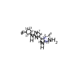 C=C/C=c1/c(-c2ccnc(Nc3cccc(F)c3)n2)c[nH]/c1=C/N